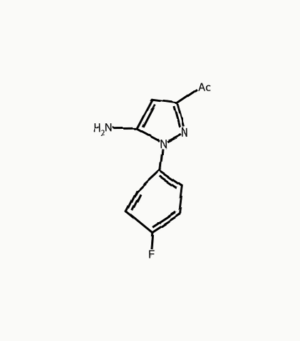 CC(=O)c1cc(N)n(-c2ccc(F)cc2)n1